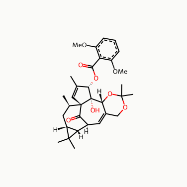 COc1cccc(OC)c1C(=O)O[C@H]1C(C)=C[C@]23C(=O)[C@@H](C=C4COC(C)(C)O[C@H]4[C@]12O)[C@H]1[C@@H](C[C@H]3C)C1(C)C